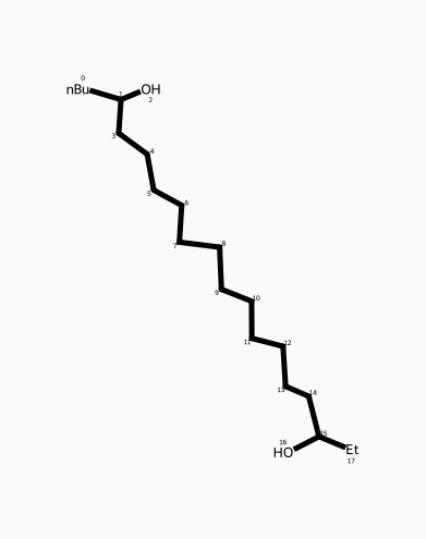 CCCCC(O)CCCCCCCCCCCCC(O)CC